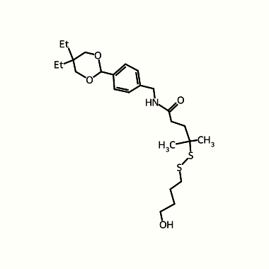 CCC1(CC)COC(c2ccc(CNC(=O)CCC(C)(C)SSCCCCO)cc2)OC1